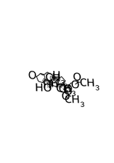 COC(=O)O[C@]1(C(=O)COC(C)=O)CC[C@H]2[C@@H]3CCC4=CC(=O)CC[C@]4(C)[C@H]3[C@@H](O)C[C@@]21C